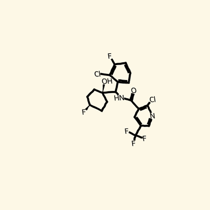 O=C(NC(c1cccc(F)c1Cl)[C@]1(O)CC[C@@H](F)CC1)c1cc(C(F)(F)F)cnc1Cl